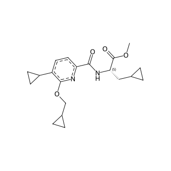 COC(=O)[C@H](CC1CC1)NC(=O)c1ccc(C2CC2)c(OCC2CC2)n1